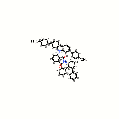 Cc1ccc(-c2ccc3c4ccc(-c5ccc(C)cc5)cc4n(-c4cccc5c4C(=O)N(c4cccc(-c6ccccc6)c4-c4ccccc4)C5=O)c3c2)cc1